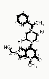 CC[C@H]1CN(C(C)c2ccccn2)[C@H](CC)CN1c1cc(=O)n(C)c2cn(CC#N)nc12